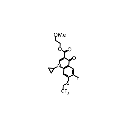 COCCOC(=O)c1cn(C2CC2)c2cc(SCC(F)(F)F)c(F)cc2c1=O